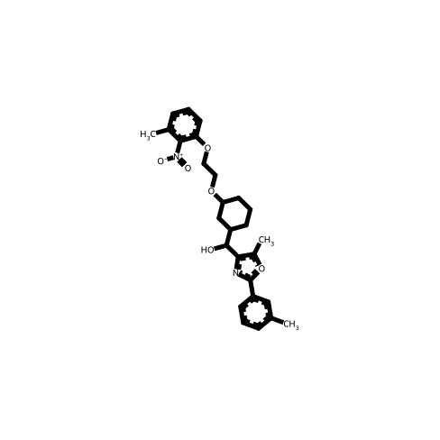 Cc1cccc(-c2nc(C(O)C3CCCC(OCCOc4cccc(C)c4[N+](=O)[O-])C3)c(C)o2)c1